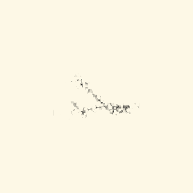 C/C=C/CC(CC(=O)OCCOCCOCCN(CCOCCOC(=O)C(C/C=C/C)CC(=O)O)c1ccc(/N=N/c2sc(C#N)c(C)c2C#N)c(C)c1)C(=O)O